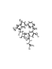 C=CC(=O)Nc1cc(Nc2nccc(-c3cc(F)c4nc(SC)n(C(C)C)c4c3)n2)c(OC)cc1N(C)CCN(C)C